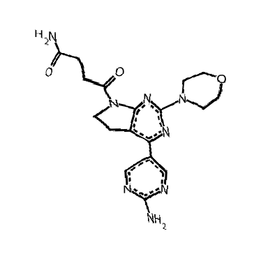 NC(=O)CCC(=O)N1CCc2c(-c3cnc(N)nc3)nc(N3CCOCC3)nc21